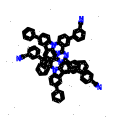 N#Cc1ccc(-c2ccc(-c3nc(-c4cc(-c5cccc(C#N)c5)ccc4-n4c5ccc(-c6ccccc6)cc5c5cc(-c6ccccc6)ccc54)nc(-c4cc(-c5cccc(C#N)c5)ccc4-n4c5ccc(-c6ccccc6)cc5c5cc(-c6ccccc6)ccc54)n3)cc2)cc1